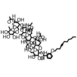 CCCCCCC#CCCCOc1cccc(C(=O)NC2C(O[C@H]3CC(O)(NC(C)=O)C(OC4C(CO)O[C@@H](O[C@@H](C)C(CO)O[C@@H](OC5C(CO[C@@H]6OC(C)C(O)C(O)C6O)OS[C@@H](NC(C)=O)[C@H]5O)C(O)NC(C)=O)[C@@H](NC(C)=O)[C@H]4O)OC3CO)OC(CO)[C@@H](O)C2O)c1